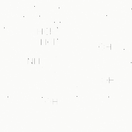 CC(N)C(O)c1ccc(O)c(O)c1.Cl.Cl